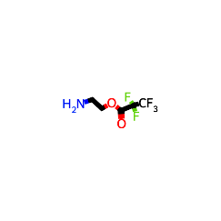 NCCOC(=O)C(F)(F)C(F)(F)F